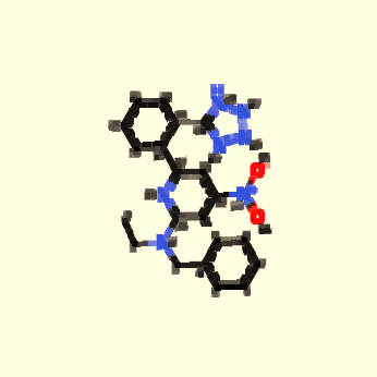 CCN(Cc1ccccc1)c1cc([N+](=O)[O-])cc(-c2ccccc2-c2nnn[nH]2)n1